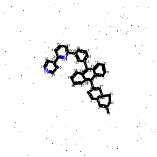 CC1=Cc2ccc(-c3c4ccccc4c(-c4cccc(-c5cccc(-c6ccncc6)n5)c4)c4ccccc34)cc2CC1